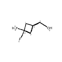 OCC1CC(F)(P)C1